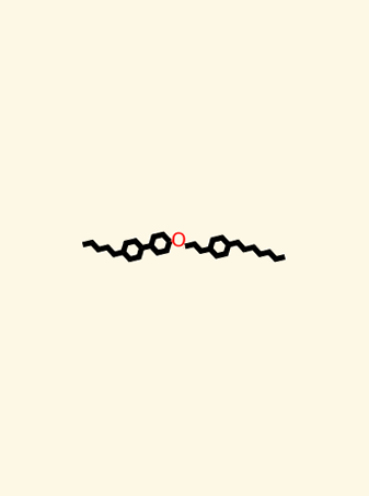 CCCCCCCC1CCC(CCCOC2CCC(C3CCC(CCCCC)CC3)CC2)CC1